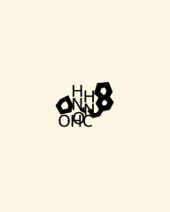 O=[C][C@H](Cc1ccc2ccccc2c1)NC(=O)NC1CCCCC1